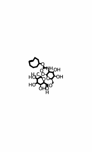 C[C@]1(O[C@H]2O[C@H](CO)[C@H](O)C(O)C2NC(=O)OC2CC/C=C/CCC2)OC(CO)[C@@H](O)C(O)C1O